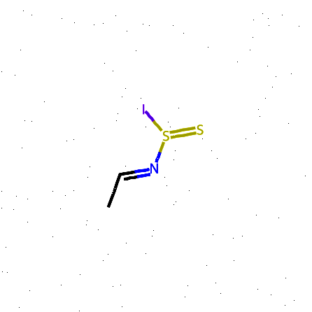 CC=NS(=S)I